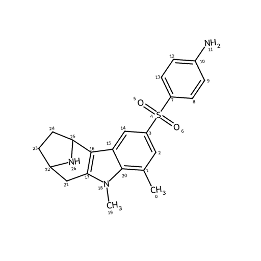 Cc1cc(S(=O)(=O)c2ccc(N)cc2)cc2c3c(n(C)c12)CC1CCC3N1